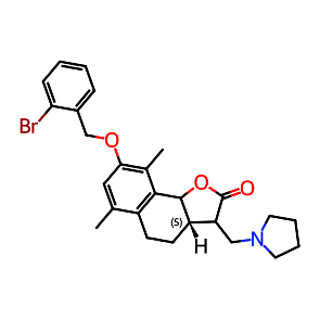 Cc1cc(OCc2ccccc2Br)c(C)c2c1CC[C@H]1C(CN3CCCC3)C(=O)OC21